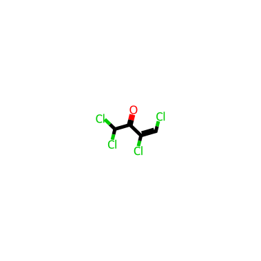 O=C(/C(Cl)=C\Cl)C(Cl)Cl